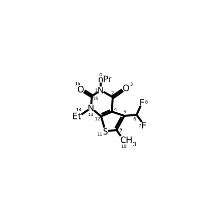 CCCn1c(=O)c2c(C(F)F)c(C)sc2n(CC)c1=O